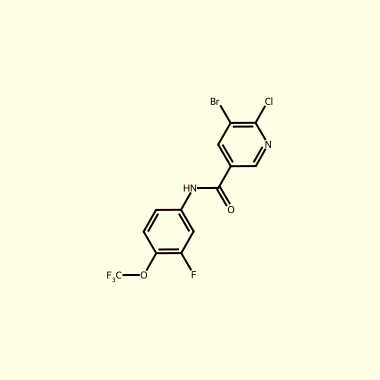 O=C(Nc1ccc(OC(F)(F)F)c(F)c1)c1cnc(Cl)c(Br)c1